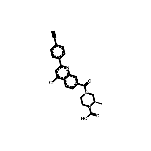 C#Cc1ccc(-c2cc(Cl)c3ccc(C(=O)N4CCN(C(=O)O)[C@H](C)C4)cc3n2)cc1